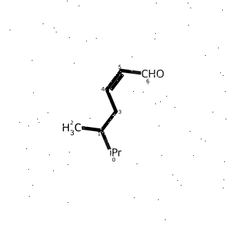 CC(C)C(C)C/C=C\C=O